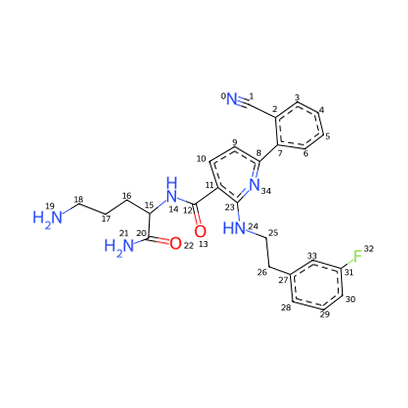 N#Cc1ccccc1-c1ccc(C(=O)NC(CCCN)C(N)=O)c(NCCc2cccc(F)c2)n1